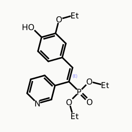 CCOc1cc(/C=C(\c2cccnc2)P(=O)(OCC)OCC)ccc1O